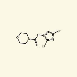 O=C(On1cc(Br)nc1Cl)N1CCOCC1